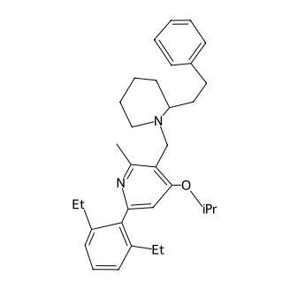 CCc1cccc(CC)c1-c1cc(OC(C)C)c(CN2CCCCC2CCc2ccccc2)c(C)n1